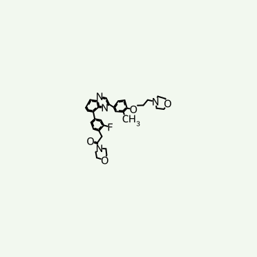 Cc1cc(-c2cnc3cccc(-c4ccc(CC(=O)N5CCOCC5)c(F)c4)c3n2)ccc1OCCCN1CCOCC1